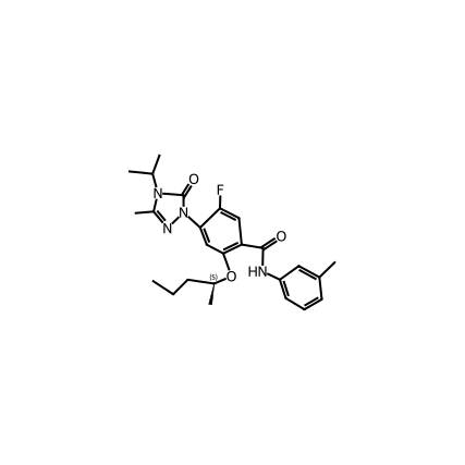 CCC[C@H](C)Oc1cc(-n2nc(C)n(C(C)C)c2=O)c(F)cc1C(=O)Nc1cccc(C)c1